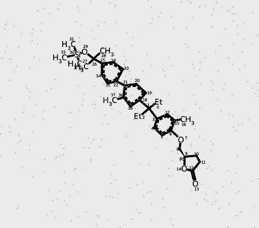 CCC(CC)(c1ccc(OC[C@H]2CCC(=O)O2)c(C)c1)c1ccc(-c2ccc(C(C)(C)O[Si](C)(C)C)cc2)c(C)c1